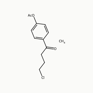 C.CC(=O)Oc1ccc(C(=O)CCCCl)cc1